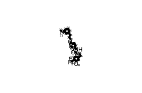 COc1cc2c(cc1C(F)(F)F)N(C(=O)Nc1ccc(OCCCc3cccc(N(C)C)c3)nn1)CC2